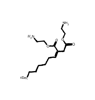 CCCCCCCCCCCCCCCC=C(CC(=O)OCCN)C(=O)OCCN